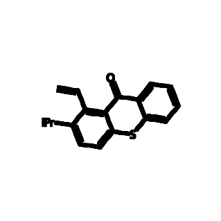 C=Cc1c(C(C)C)ccc2sc3ccccc3c(=O)c12